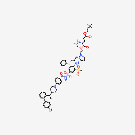 CC(C)N(C)[C@@H](CCC(=O)OCC[Si](C)(C)C)C(=O)OCCN1CCC[C@H]1C[C@H](CSc1ccccc1)Nc1ccc(S(=O)(=O)NC(=O)c2ccc(N3CCC([C@@H](C)c4ccccc4-c4ccc(Cl)cc4)CC3)cc2)cc1S(C)(=O)=O